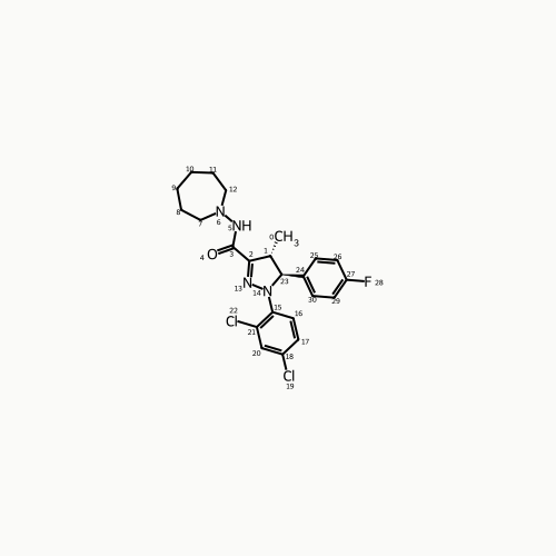 C[C@H]1C(C(=O)NN2CCCCCC2)=NN(c2ccc(Cl)cc2Cl)[C@@H]1c1ccc(F)cc1